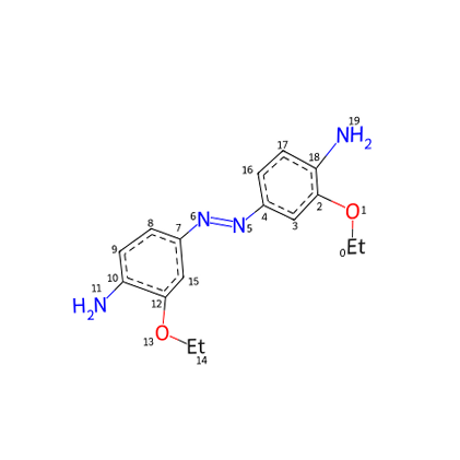 CCOc1cc(/N=N/c2ccc(N)c(OCC)c2)ccc1N